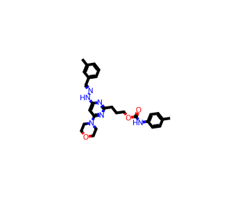 Cc1ccc(NC(=O)OCCCc2nc(N/N=C/c3cccc(C)c3)cc(N3CCOCC3)n2)cc1